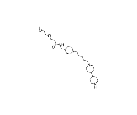 COCCOCCC(=O)NCC1CCN(CCCCCN2CCC(C3CCNCC3)CC2)CC1